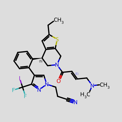 CCc1cc2c(s1)CN(C(=O)/C=C/CN(C)C)C[C@H]2c1ccccc1-c1cn(CCC#N)nc1C(F)(F)I